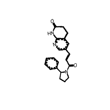 O=C1CCc2cc(C=CC(=O)N3CCCC3c3ccccc3)cnc2N1